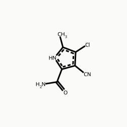 Cc1[nH]c(C(N)=O)c(C#N)c1Cl